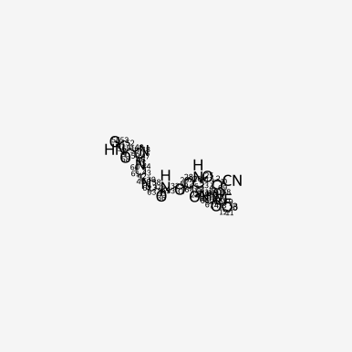 N#Cc1cccc2[nH]c(-c3ccccc3OC3(C(F)(F)F)CCN(C(=O)[C@H]4CC(=O)Nc5ccc(OCCNC(=O)C6CCN(CC7CCN(c8cncc(C9CCC(=O)NC9=O)c8)CC7)CC6)cc54)CC3)cc12